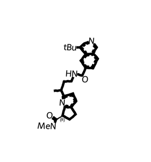 CNC(=O)[C@@H]1CCc2ccc(C(C)CCNC(=O)c3ccc4cncc(C(C)(C)C)c4c3)nc21